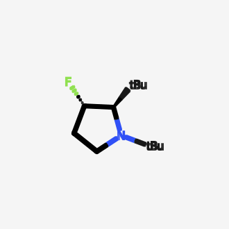 CC(C)(C)[C@@H]1[C@@H](F)CCN1C(C)(C)C